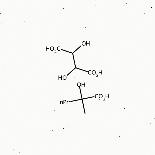 CCCC(C)(O)C(=O)O.O=C(O)C(O)C(O)C(=O)O